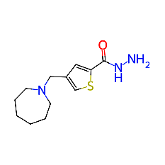 NNC(=O)c1cc(CN2CCCCCC2)cs1